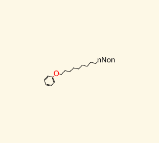 CCCCCCCCCCCCCCCCCCOc1ccccc1